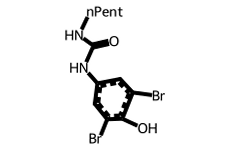 CCCCCNC(=O)Nc1cc(Br)c(O)c(Br)c1